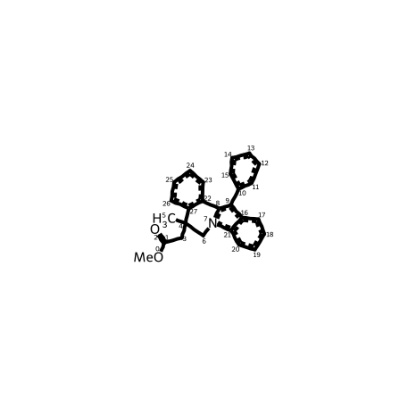 COC(=O)CC1(C)Cn2c(c(-c3ccccc3)c3ccccc32)-c2ccccc21